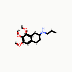 CCCNC1CCc2cc(OC)c(OC)c(OC)c2C1